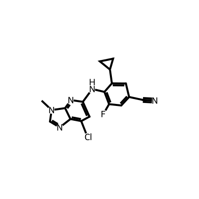 Cn1cnc2c(Cl)cc(Nc3c(F)cc(C#N)cc3C3CC3)nc21